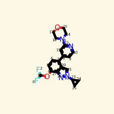 FC(F)Oc1ccc(-c2ccnc(N3CCOCC3)c2)c2cn(C3CC3)nc12